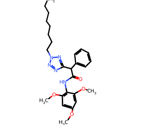 CCCCCCCCn1nnc(C(C(=O)Nc2c(OC)cc(OC)cc2OC)c2ccccc2)n1